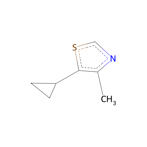 Cc1ncsc1C1CC1